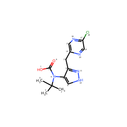 CC(C)(C)N(C(=O)O)c1c[nH]nc1Cc1cnc(Cl)cn1